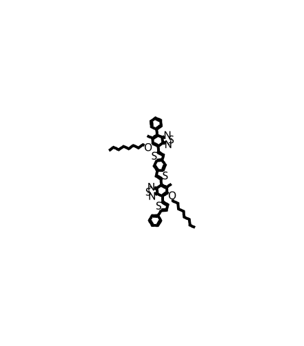 CCCCCCCCOc1c(C)c(-c2ccccc2)c2nsnc2c1-c1cc2cc3sc(-c4c(C)c(OCCCCCCCC)c(-c5ccc(-c6ccccc6)s5)c5nsnc45)cc3cc2s1